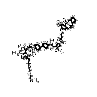 COc1cc2c(cc1OCCCC(=O)NC1=CC(C)C(C(=O)Nc3ccc(-c4ccc(NC(=O)[C@H](C)NC(=O)C(NC(=O)CCOCCOCCN)C(C)C)cc4)cc3)=C1)N=C[C@@H]1Cc3ccccc3CN1C2=O